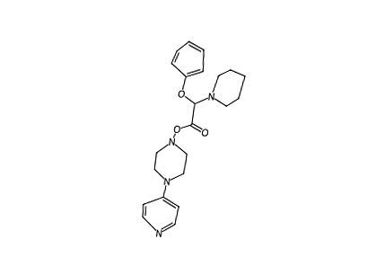 O=C(ON1CCN(c2ccncc2)CC1)C(Oc1ccccc1)N1CCCCC1